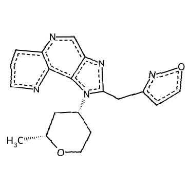 C[C@@H]1C[C@H](n2c(Cc3ccon3)nc3cnc4cccnc4c32)CCO1